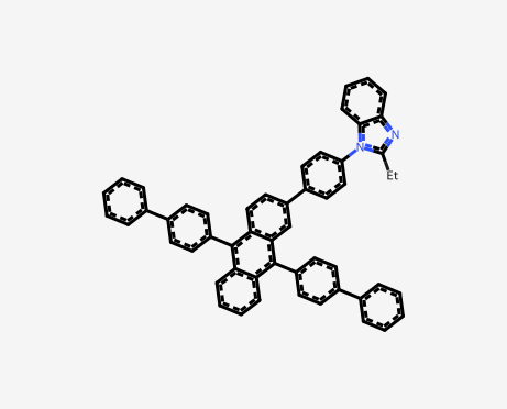 CCc1nc2ccccc2n1-c1ccc(-c2ccc3c(-c4ccc(-c5ccccc5)cc4)c4ccccc4c(-c4ccc(-c5ccccc5)cc4)c3c2)cc1